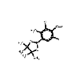 COc1c(F)cc(B2OC(C)(C)C(C)(C)O2)c(C)c1Cl